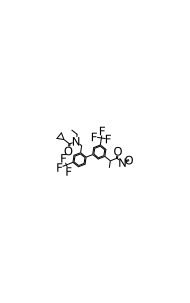 CCN(Cc1cc(C(F)(F)F)ccc1-c1cc(C(C)C(=O)N=O)cc(C(F)(F)F)c1)C(=O)C1CC1